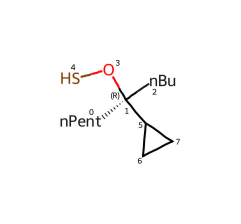 CCCCC[C@@](CCCC)(OS)C1CC1